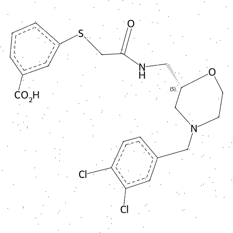 O=C(CSc1cccc(C(=O)O)c1)NC[C@H]1CN(Cc2ccc(Cl)c(Cl)c2)CCO1